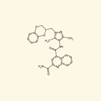 Cc1nn(CC2COc3ccccc3O2)c(C)c1NC(=O)c1cc(C(N)=O)nc2ccccc12